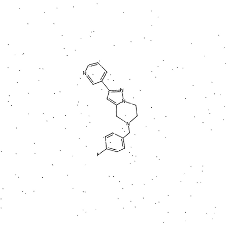 Fc1ccc(CN2CCn3nc(-c4cccnc4)cc3C2)cc1